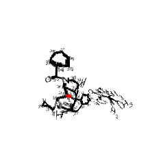 CC(C)(C)[Si](C)(C)Oc1ccc2c(c1)[C@]13CCN(CC4CC4)[C@H](C2)[C@]12CCC1C3[C@@H](CN1C(=O)c1ccccc1)C2